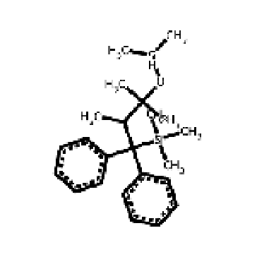 CC(C(C)(C)O[SiH](C)C)C(c1ccccc1)(c1ccccc1)[Si](C)(C)C